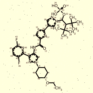 CCO[C@H]1CC[C@H](n2cc(NC(=O)c3csc(-c4cnn(C(OP(=O)(O)O)C(C(C)(C)C)C(C)(C)C)c4)n3)c(-c3nc(F)ccc3F)n2)CC1